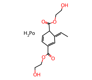 CC=C1C=C(C(=O)OCCO)C=CC1C(=O)OCCO.[PoH2]